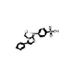 CCn1c(-c2ccccc2)cs/c1=N\c1ccc(S(=O)(=O)O)cc1